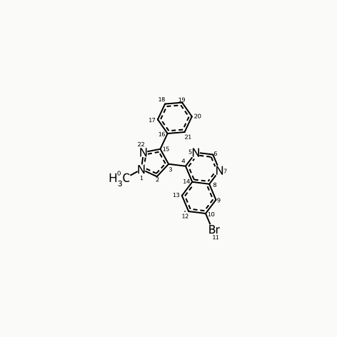 Cn1cc(-c2ncnc3cc(Br)[c]cc23)c(-c2ccccc2)n1